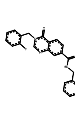 O=C(NCc1ccccc1)c1ccc2c(=O)n(Cc3ccccc3F)cnc2c1